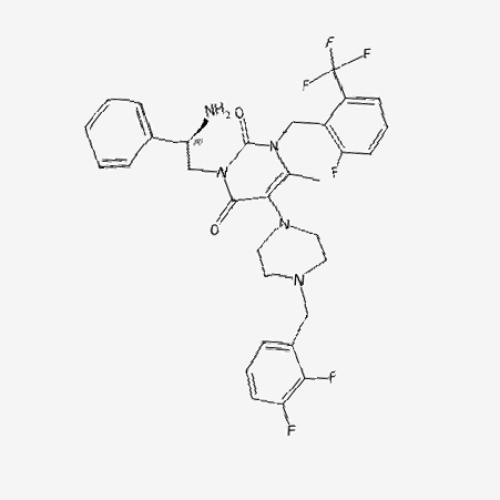 Cc1c(N2CCN(Cc3cccc(F)c3F)CC2)c(=O)n(C[C@H](N)c2ccccc2)c(=O)n1Cc1c(F)cccc1C(F)(F)F